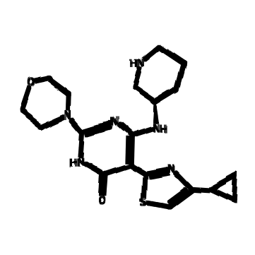 O=c1[nH]c(N2CCOCC2)nc(N[C@@H]2CCCNC2)c1-c1nc(C2CC2)cs1